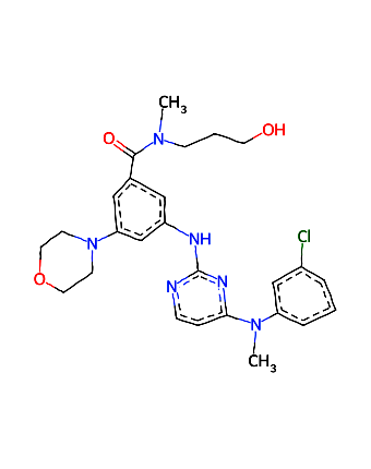 CN(CCCO)C(=O)c1cc(Nc2nccc(N(C)c3cccc(Cl)c3)n2)cc(N2CCOCC2)c1